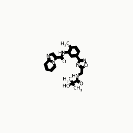 Cc1ccc(-c2noc(CNC(=O)C(C)(C)O)n2)cc1NC(=O)c1cnc2ccccn12